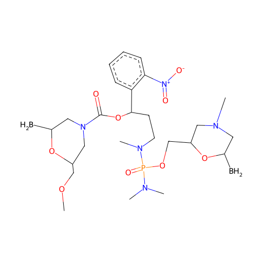 BC1CN(C)CC(COP(=O)(N(C)C)N(C)CCC(OC(=O)N2CC(B)OC(COC)C2)c2ccccc2[N+](=O)[O-])O1